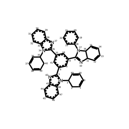 C1=CCC(n2c(-c3cc(C4=NC5C=CC=CC5N4c4ccccc4)cc(-c4nc5ccccc5n4C4C=CC=CC4)c3)nc3ccccc32)C=C1